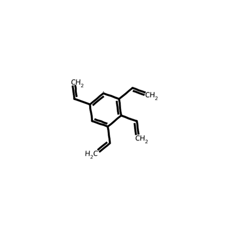 C=Cc1[c]c(C=C)c(C=C)c(C=C)c1